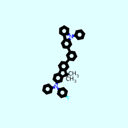 CC1(C)c2cc(-c3cccc(-c4ccc5c6ccccc6n(-c6ccccc6)c5c4)c3)ccc2-c2ccc(N(c3ccccc3)c3ccc(F)cc3)cc21